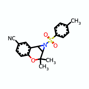 Cc1ccc(S(=O)(=O)N2C3c4cc(C#N)ccc4OC(C)(C)C32)cc1